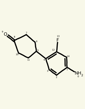 Nc1ccc(C2CCC(=O)CC2)c(F)c1